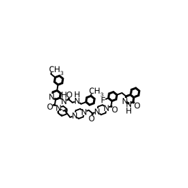 CCc1cccc(-c2cnc(C(=O)N3CC4CCC3CC4CN3CCN(CC(=O)N4CCN(C(=O)c5cc(Cc6n[nH]c(=O)c7ccccc67)ccc5F)CC4)CC3)c(NC(=O)CNCc3cccc(C)c3)c2)c1